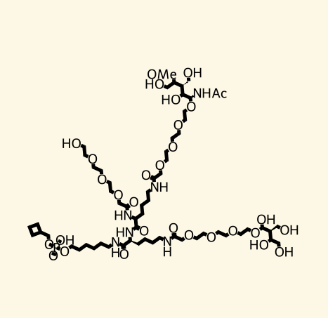 COC(CO)[C@H](CO)C(O)[C@@H](NC(C)=O)OCCOCCOCCOCC(=O)NCCCCC(NC(=O)COCCOCCOCCO)C(=O)N[C@@H](CCCCNC(=O)COCCOCCOCCOC(O)[C@@H](CO)C(O)CO)C(=O)NCCCCCCOP(=O)(O)OCC1CCC1